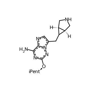 CCC[C@H](C)Oc1nc(N)c2ncc(CC3[C@H]4CNC[C@@H]34)n2n1